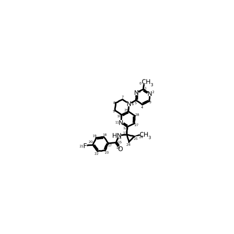 Cc1nccc(N2CCCc3nc(C4(NC(=O)c5ccc(F)cc5)C[C@@H]4C)ccc32)n1